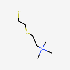 C[N+](C)(C)CCSCC[S-]